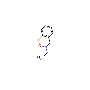 CCN1Cc2ccccc2OO1